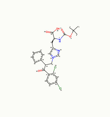 CC(C)(C)OC(=O)N[C@@H](Cc1cn(CC(C(=O)c2ccc(Cl)cc2Cl)c2ccccc2)cn1)C(=O)O